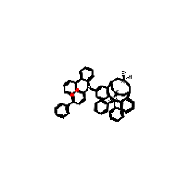 CC[C@H]1CC2C[C@@H](C)CC(C1)c1cc(N(c3ccc(-c4ccccc4)cc3)c3ccccc3-c3ccccc3)ccc1C(c1ccccc1)(c1ccccc1)c1ccccc12